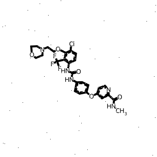 CNC(=O)c1cc(Oc2ccc(NC(=O)Nc3ccc(Cl)c(OCCN4CCOCC4)c3C(F)(F)F)cc2)ccn1